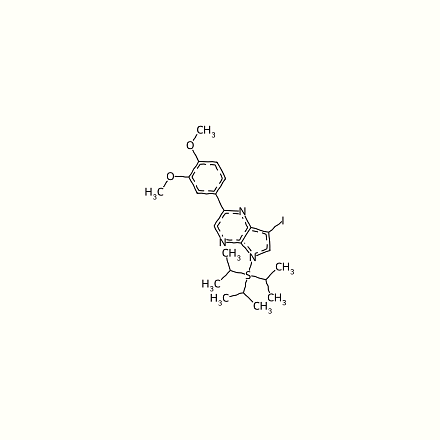 COc1ccc(-c2cnc3c(n2)c(I)cn3S(C(C)C)(C(C)C)C(C)C)cc1OC